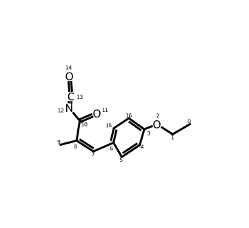 CCOc1ccc(C=C(C)C(=O)N=C=O)cc1